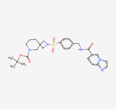 CC(C)(C)OC(=O)N1CCCC2(C1)CN(S(=O)(=O)c1ccc(CNC(=O)c3ccc4nccn4c3)cc1)C2